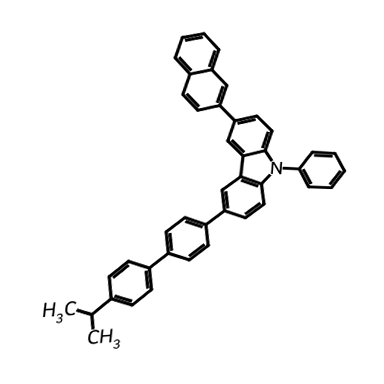 CC(C)c1ccc(-c2ccc(-c3ccc4c(c3)c3cc(-c5ccc6ccccc6c5)ccc3n4-c3ccccc3)cc2)cc1